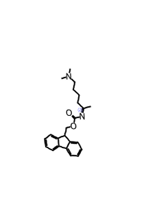 C/C(CCCCN(C)C)=N/C(=O)OCC1c2ccccc2-c2ccccc21